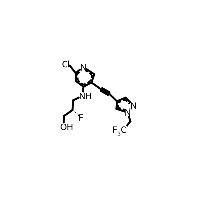 OC[C@@H](F)CNc1cc(Cl)ncc1C#Cc1cnn(CC(F)(F)F)c1